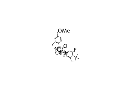 COCc1ccc2c(c1)CCN(C(=O)O)[C@H]2C(=O)Nc1cc(F)c2c(c1)CCC2(C)C